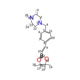 C[C@@H]1CN(Cc2ccc(C=CB3OC(C)(C)C(C)(C)O3)cc2)C[C@H](C)N1C